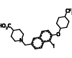 O=C(O)C1CCN(Cc2ccc3c(I)c(OC4CCC(C(F)(F)F)CC4)ccc3c2)CC1